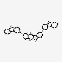 c1ccc2c(c1)sc1ccc(-c3ccc4nc5oc6ccc(-c7ccc8sc9ccccc9c8c7)cc6c5nc4c3)cc12